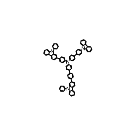 c1ccc(-n2c3ccccc3c3ccc(-c4ccc(-c5ccc(N(c6ccc(-c7ccc(-n8c9ccccc9c9ccccc98)cc7)cc6)c6ccc(-c7ccc8c9ccccc9n(-c9ccccc9)c8c7)cc6)cc5)cc4)cc32)cc1